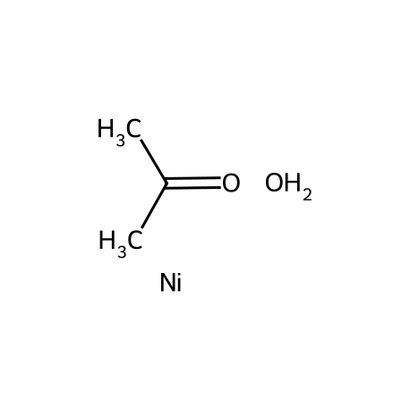 CC(C)=O.O.[Ni]